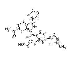 CC(=O)N1CCc2c(c(N3C[C@H](CO)Cc4cc(-c5cnn(C)c5)ccc43)nn2[C@H]2CCOC2)C1